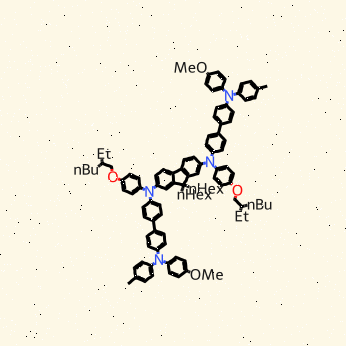 CCCCCCC1(CCCCCC)c2cc(N(c3ccc(OCC(CC)CCCC)cc3)c3ccc(-c4ccc(N(c5ccc(C)cc5)c5ccc(OC)cc5)cc4)cc3)ccc2-c2ccc(N(c3ccc(OCC(CC)CCCC)cc3)c3ccc(-c4ccc(N(c5ccc(C)cc5)c5ccc(OC)cc5)cc4)cc3)cc21